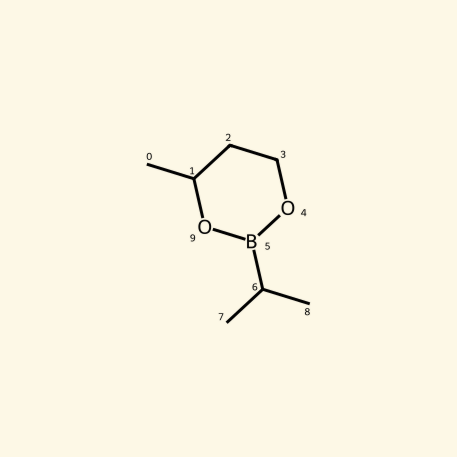 CC1CCOB(C(C)C)O1